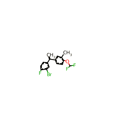 C=C(c1ccc(OC(F)F)c(C)c1)c1ccc(F)c(Br)c1